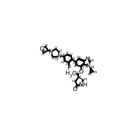 C[C@@H](Oc1cc(-c2ccc(N3CCN(C4COC4)CC3)cc2F)cc2ncn(C3CC3)c12)[C@H]1CNC(=O)C1